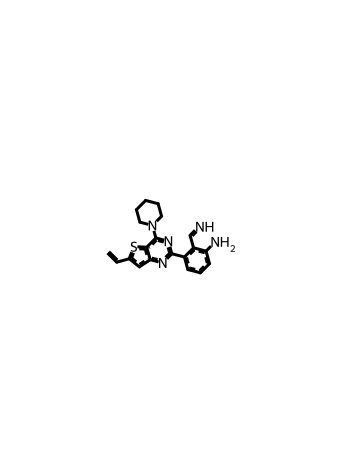 C=Cc1cc2nc(-c3cccc(N)c3C=N)nc(N3CCCCC3)c2s1